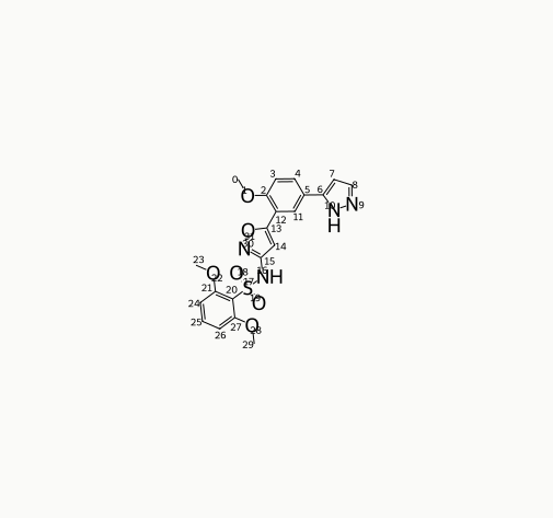 COc1ccc(-c2ccn[nH]2)cc1-c1cc(NS(=O)(=O)c2c(OC)cccc2OC)no1